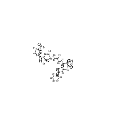 CC(=O)O[C@@H](C)/C=C\C(=O)N[C@@H]1C[C@H](C)[C@H](C/C=C(C)/C=C/[C@H]2O[C@H](CC(=O)N3CCCCC3)C[C@@]3(CO3)[C@@H]2O)O[C@@H]1C